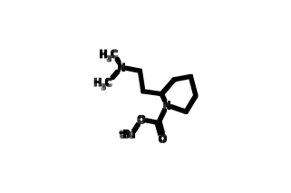 CN(C)CCC1CCCCN1C(=O)OC(C)(C)C